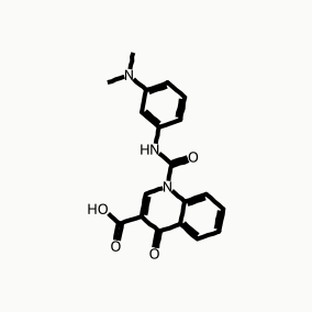 CN(C)c1cccc(NC(=O)n2cc(C(=O)O)c(=O)c3ccccc32)c1